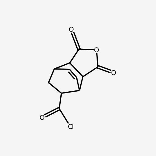 O=C(Cl)C1CC2C=CC1C1C(=O)OC(=O)C21